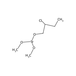 CCC(Cl)CO[Si](OC)OC